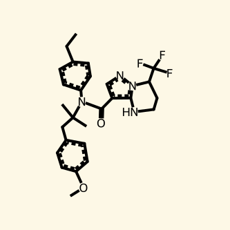 CCc1ccc(N(C(=O)c2cnn3c2NCCC3C(F)(F)F)C(C)(C)Cc2ccc(OC)cc2)cc1